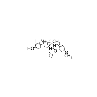 COc1ccc(CN2C(=O)N(CC3CCC3)C3(CCC(N)(c4ccc(O)cc4)CC3)C2(C)C)cc1